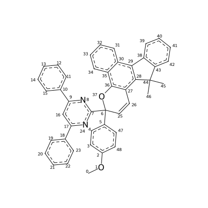 COc1ccc(C2(c3nc(-c4ccccc4)cc(-c4ccccc4)n3)C=Cc3c4c(c5ccccc5c3O2)-c2ccccc2C4(C)C)cc1